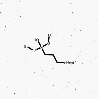 CCCCCCCCCC[Si](O)(OCC)OCC